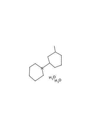 CC1CCCC(N2CCCCC2)C1.O.O